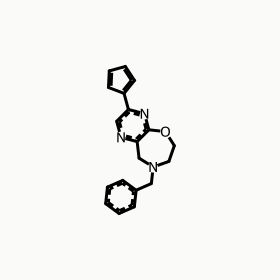 C1=CC=CC=1c1cnc2c(n1)OCCN(Cc1ccccc1)C2